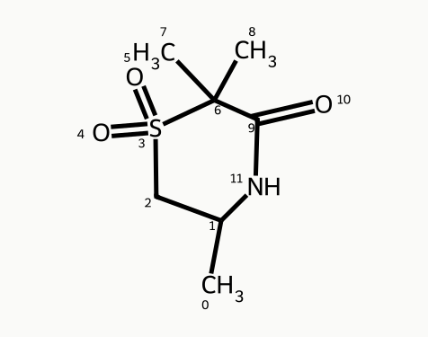 CC1CS(=O)(=O)C(C)(C)C(=O)N1